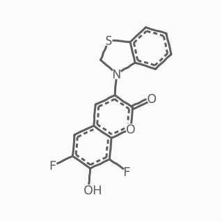 O=c1oc2c(F)c(O)c(F)cc2cc1N1CSc2ccccc21